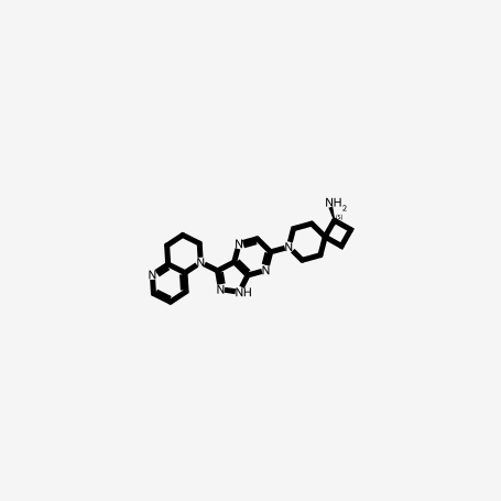 N[C@H]1CCC12CCN(c1cnc3c(N4CCCc5ncccc54)n[nH]c3n1)CC2